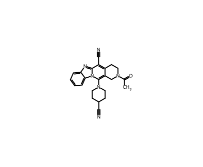 CC(=O)N1CCc2c(c(N3CCC(C#N)CC3)n3c(nc4ccccc43)c2C#N)C1